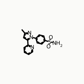 Cc1cc(-c2ccccn2)n(-c2ccc(S(N)(=O)=O)cc2)n1